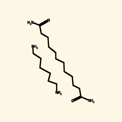 NC(=O)CCCCCCCCCCC(N)=O.NCCCCCCN